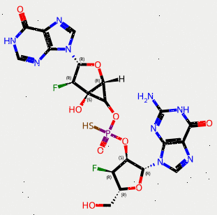 Nc1nc2c(ncn2[C@@H]2O[C@H](CO)[C@@H](F)[C@H]2OP(=O)(S)OC2[C@H]3O[C@@H](n4cnc5c(=O)[nH]cnc54)[C@H](F)[C@@]23O)c(=O)[nH]1